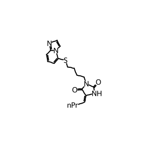 CCCC=C1NC(=O)N(CCCCSc2cccc3nccn23)C1=O